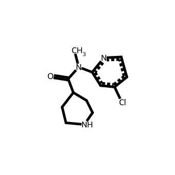 CN(C(=O)C1CCNCC1)c1cc(Cl)ccn1